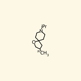 CC(C)N1CCC2(CC1)C[C@@H](C)CO2